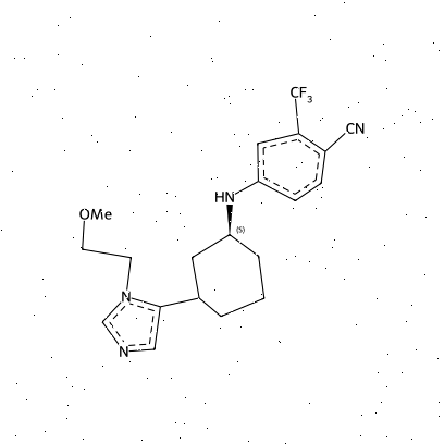 COCCn1cncc1C1CCC[C@H](Nc2ccc(C#N)c(C(F)(F)F)c2)C1